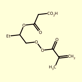 C=C(C)C(=O)OOCC(CC)OC(=O)CC(=O)O